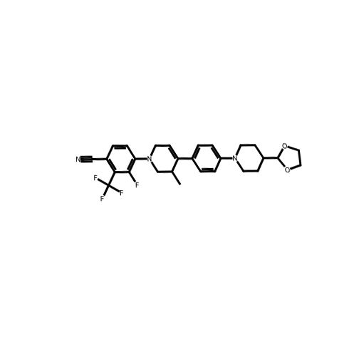 CC1CN(c2ccc(C#N)c(C(F)(F)F)c2F)CC=C1c1ccc(N2CCC(C3OCCO3)CC2)cc1